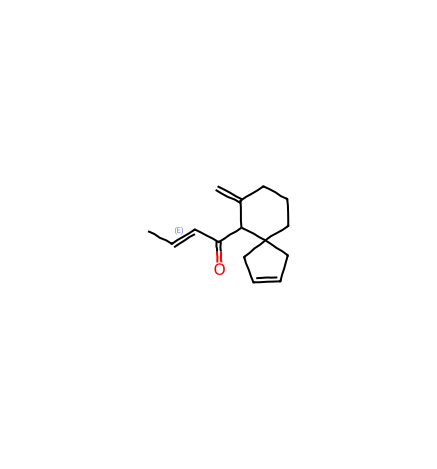 C=C1CCCC2(CC=CC2)C1C(=O)/C=C/C